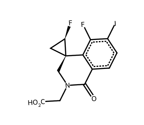 O=C(O)CN1C[C@]2(C[C@H]2F)c2c(ccc(I)c2F)C1=O